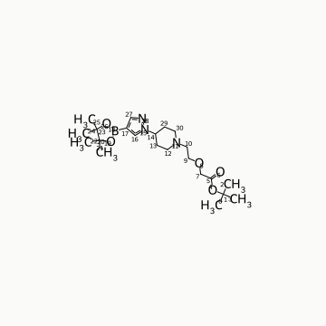 CC(C)(C)OC(=O)COCCN1CCC(n2cc(B3OC(C)(C)C(C)(C)O3)cn2)CC1